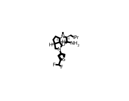 CC(C)C[C@@H](C(N)=O)N(C)[C@H]1CC[C@@H]2CN(c3csc(C(F)F)c3)C[C@@H]21